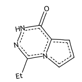 CCc1n[nH]c(=O)c2cccn12